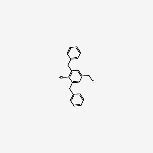 Oc1c(Cc2ccccc2)cc(CCl)cc1Cc1ccccc1